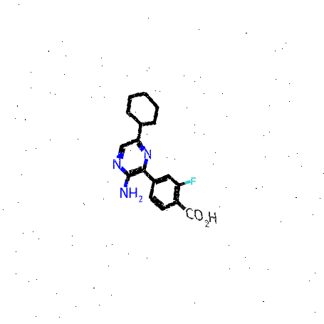 Nc1ncc(C2CCCCC2)nc1-c1ccc(C(=O)O)c(F)c1